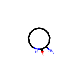 NC1CCCCCCCCCCNC1=O